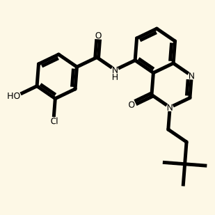 CC(C)(C)CCn1cnc2cccc(NC(=O)c3ccc(O)c(Cl)c3)c2c1=O